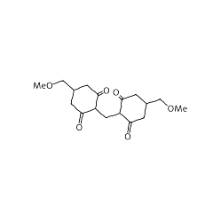 COCC1CC(=O)C(CC2C(=O)CC(COC)CC2=O)C(=O)C1